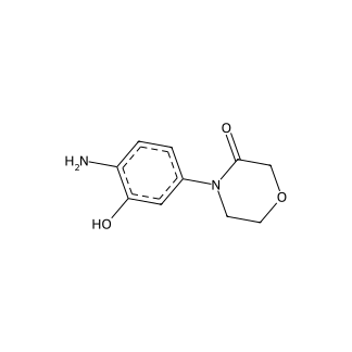 Nc1ccc(N2CCOCC2=O)cc1O